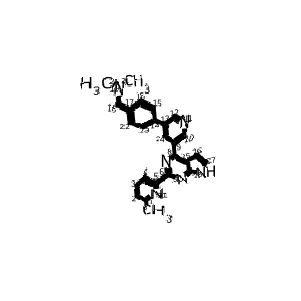 Cc1cccc(-c2nc(-c3cncc(-c4ccc(CN(C)C)cc4)c3)c3cc[nH]c3n2)n1